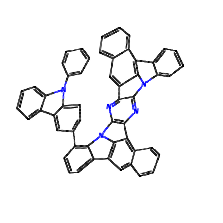 c1ccc(-n2c3ccccc3c3cc(-c4cccc5c6cc7ccccc7c7c8nc9c(nc8n(c45)c67)c4cc5ccccc5c5c6ccccc6n9c45)ccc32)cc1